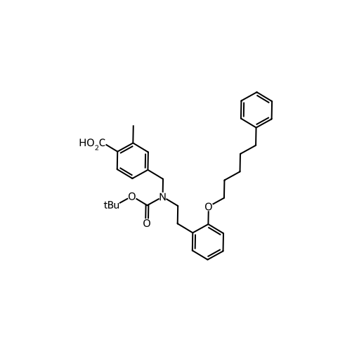 Cc1cc(CN(CCc2ccccc2OCCCCCc2ccccc2)C(=O)OC(C)(C)C)ccc1C(=O)O